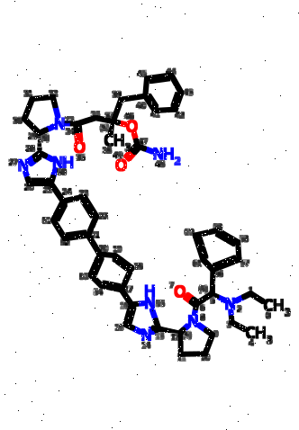 CCN(CC)[C@@H](C(=O)N1CCC[C@H]1c1ncc(-c2ccc(-c3ccc(-c4cnc([C@@H]5CCCN5C(=O)C[C@](C)(Cc5ccccc5)OC(N)=O)[nH]4)cc3)cc2)[nH]1)c1ccccc1